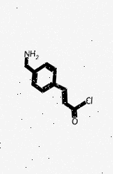 NCc1ccc(C=CC(=O)Cl)cc1